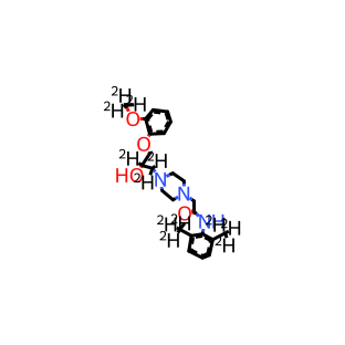 [2H]C([2H])([2H])Oc1ccccc1OCC([2H])(O)C([2H])([2H])N1CCN(CC(=O)Nc2c(C([2H])([2H])[2H])cccc2C([2H])([2H])[2H])CC1